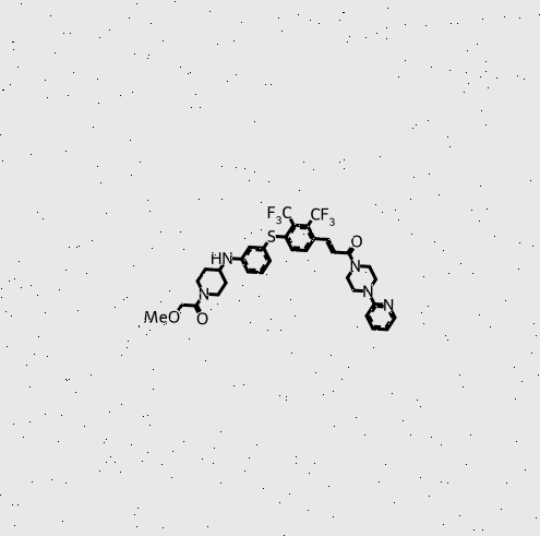 COCC(=O)N1CCC(Nc2cccc(Sc3ccc(C=CC(=O)N4CCN(c5ccccn5)CC4)c(C(F)(F)F)c3C(F)(F)F)c2)CC1